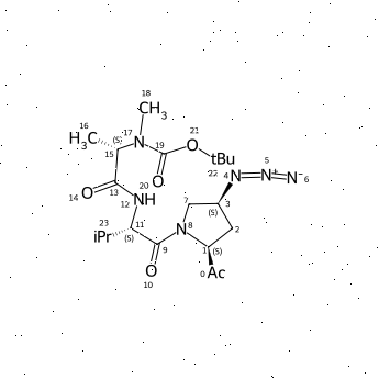 CC(=O)[C@@H]1C[C@H](N=[N+]=[N-])CN1C(=O)[C@@H](NC(=O)[C@H](C)N(C)C(=O)OC(C)(C)C)C(C)C